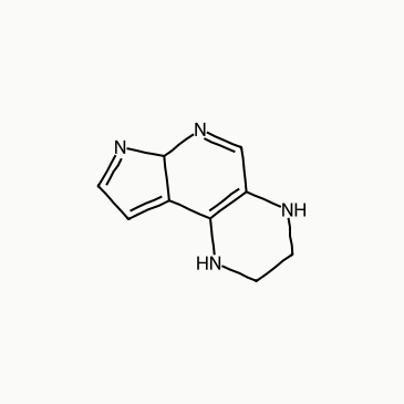 C1=NC2N=CC3=C(NCCN3)C2=C1